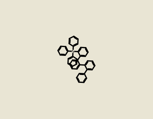 c1ccc(-c2ccccc2-c2ccccc2-c2ccccc2S(c2ccccc2)(c2ccccc2)c2ccccc2)cc1